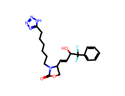 O=C1OCC(C=CC(O)C(F)(F)c2ccccc2)N1CCCCCCc1nnn[nH]1